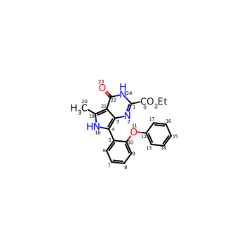 CCOC(=O)c1nc2c(-c3ccccc3Oc3ccccc3)[nH]c(C)c2c(=O)[nH]1